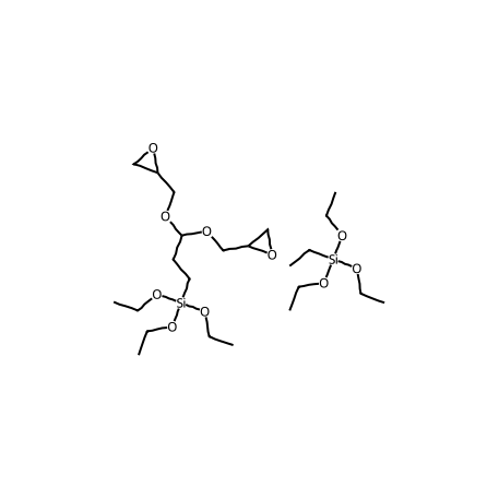 CCO[Si](CC)(OCC)OCC.CCO[Si](CCC(OCC1CO1)OCC1CO1)(OCC)OCC